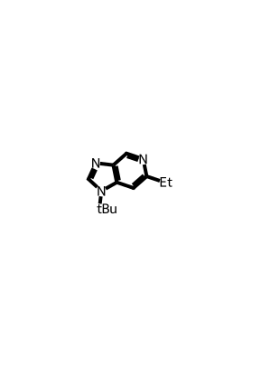 CCc1cc2c(cn1)ncn2C(C)(C)C